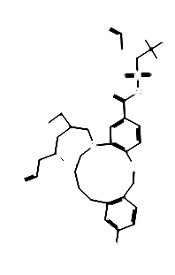 C=CC[C@H](C(F)(F)F)S(=O)(=O)NC(=O)c1ccc2c(c1)N(CC1CC[C@H]1[C@@H](O)CC=C)CCCCc1cc(Cl)ccc1CO2